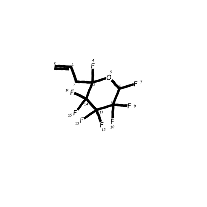 C=CCC1(F)OC(F)C(F)(F)C(F)(F)C1(F)F